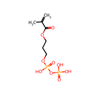 C=C(C)C(=O)OCCCOP(=O)(O)OP(=O)(O)O